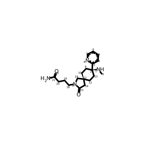 CN[C@]1(c2ccccn2)CC[C@@]2(CC1)CC(=O)N(CCCC(N)=O)C2